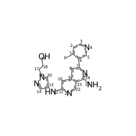 Cc1ccncc1-c1cc2cc(Nc3cnn(CCO)c3)ncc2c(N)n1